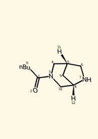 CCCCC(=O)N1C[C@@H]2CN[C@@H](C2)C1